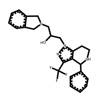 OC(CN1Cc2ccccc2C1)Cn1nc(C(F)(F)F)c2c1CCNC2c1ccccc1